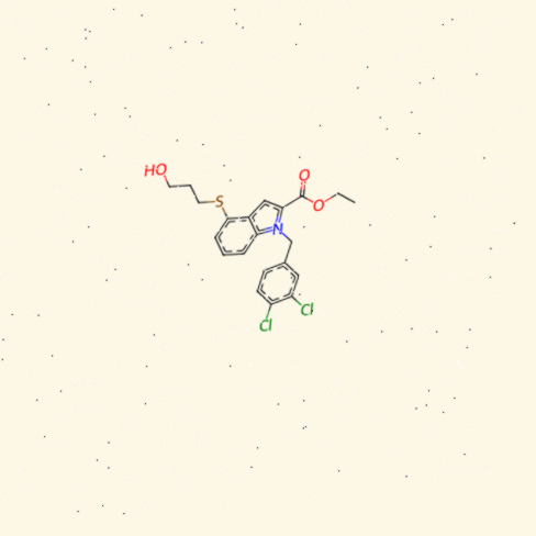 CCOC(=O)c1cc2c(SCCCO)cccc2n1Cc1ccc(Cl)c(Cl)c1